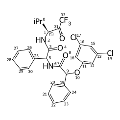 CC(C)[C@H](NC(=O)C(NC(=O)C(Oc1cc(Cl)cc(Cl)c1)c1ccccc1)c1ccccc1)C(=O)C(F)(F)F